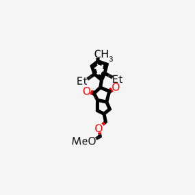 CCc1cc(C)cc(CC)c1C1C(=O)C2CC(COCOC)CC2C1=O